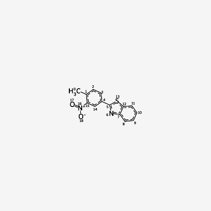 Cc1ccc(-c2nc3ccccc3s2)cc1[N+](=O)[O-]